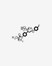 CN(C)C(=O)Oc1ccc(C(CCOc2ccc(F)cc2)N(C)C)cc1.Cl